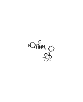 CC1(C)OB(c2ccccc2C=NNC(=O)c2ccncc2)OC1(C)C